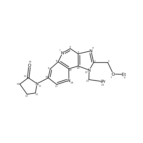 CCOCc1nc2cnc3cc(N4CCCC4=O)cnc3c2n1CC(C)C